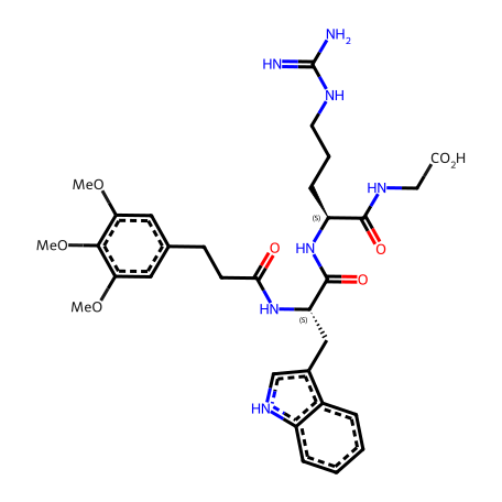 COc1cc(CCC(=O)N[C@@H](Cc2c[nH]c3ccccc23)C(=O)N[C@@H](CCCNC(=N)N)C(=O)NCC(=O)O)cc(OC)c1OC